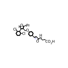 CC(C)c1onc(-c2c(Cl)cccc2Cl)c1COc1ccc(/C=C/C(=O)NCCC(=O)O)cc1